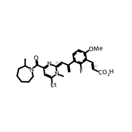 C=C(/C=C1/N=C(C(=O)N2CCCCCC2C)C=C(CC)N1C)c1ccc(OC)c(/C=C/C(=O)O)c1F